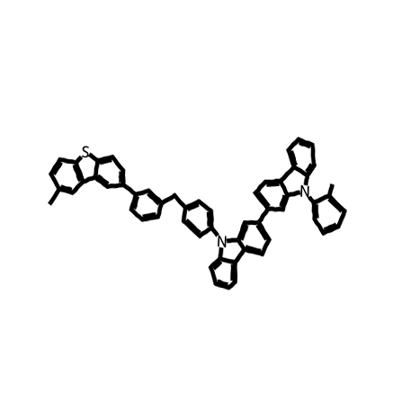 Cc1ccc2sc3ccc(-c4cccc(Cc5ccc(-n6c7ccccc7c7ccc(-c8ccc9c%10ccccc%10n(-c%10ccccc%10C)c9c8)cc76)cc5)c4)cc3c2c1